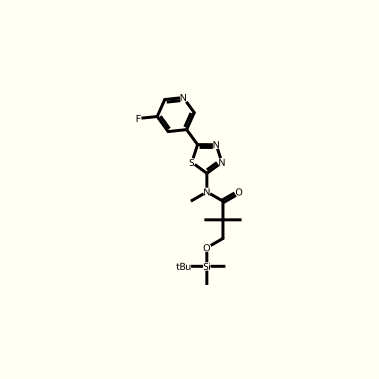 CN(C(=O)C(C)(C)CO[Si](C)(C)C(C)(C)C)c1nnc(-c2cncc(F)c2)s1